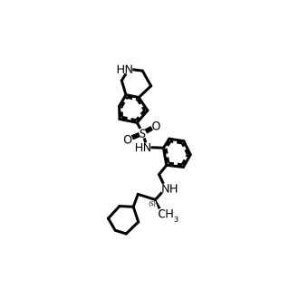 C[C@@H](CC1CCCCC1)NCc1ccccc1NS(=O)(=O)c1ccc2c(c1)CCNC2